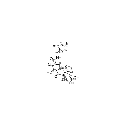 CN1C(=O)c2c(O)c(=O)c(C(=O)NCc3ccc(F)cc3F)cn2N(C)C12CC[C@@H](P(O)O)C2